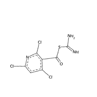 N=C(N)SC(=O)c1c(Cl)cc(Cl)nc1Cl